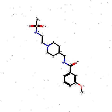 CC(C)(C)S(=O)(=O)NCCN1CCC(CNC(=O)c2cccc(OC(F)(F)F)c2)CC1